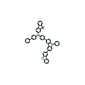 CC1(C)c2ccccc2-c2ccc(N(c3ccc(-c4ccccc4)cc3)c3ccc(-c4ccc5c(c4)c4cc(-c6ccc7oc8ccccc8c7c6)ccc4n5-c4ccccc4)cc3)cc21